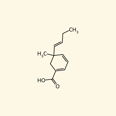 CCC=CC1(C)C=CC=C(C(=O)O)C1